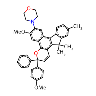 COc1ccc(C2(c3ccccc3)C=Cc3c4c(c5cc(N6CCOCC6)c(OC)cc5c3O2)-c2ccc(C)cc2C4(C)C)cc1